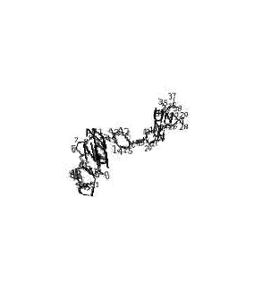 CC(C(=O)N1CCC[C@H]1c1ncc(-c2ccc(C#Cc3ccc4nc([C@@H]5CC6(CC6)CN5C(=O)[C@@H](C)C(C)C)[nH]c4c3)cc2)[nH]1)c1cccc(Cl)c1